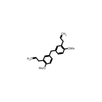 C=CCc1cc(Cc2ccc(OC)c(CC=C)c2)ccc1OC